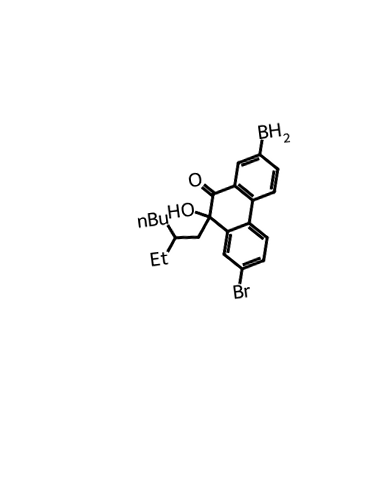 Bc1ccc2c(c1)C(=O)C(O)(CC(CC)CCCC)c1cc(Br)ccc1-2